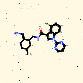 CC1CC/C(=C\N)C(CNC(=O)c2cn(-c3ncccn3)c3cccc(F)c23)C1